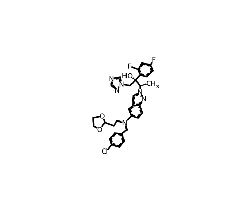 C[C@@H](n1cc2cc(N(CCC3OCCO3)Cc3ccc(Cl)cc3)ccc2n1)[C@](O)(Cn1cncn1)c1ccc(F)cc1F